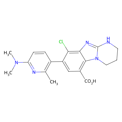 Cc1nc(N(C)C)ccc1-c1cc(C(=O)O)c2c(nc3n2CCCN3)c1Cl